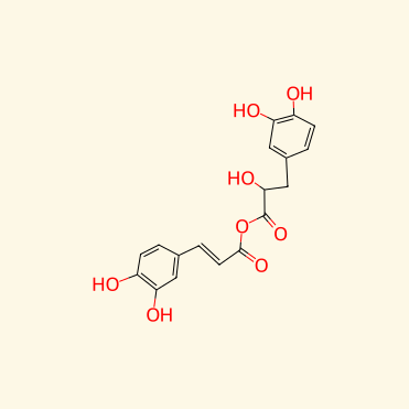 O=C(C=Cc1ccc(O)c(O)c1)OC(=O)C(O)Cc1ccc(O)c(O)c1